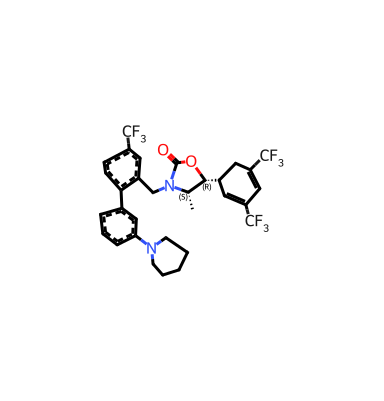 C[C@H]1[C@@H](C2C=C(C(F)(F)F)C=C(C(F)(F)F)C2)OC(=O)N1Cc1cc(C(F)(F)F)ccc1-c1cccc(N2CCCCC2)c1